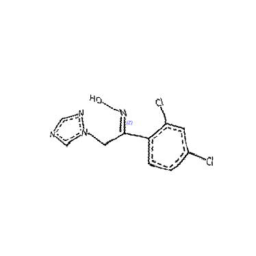 O/N=C(\Cn1cncn1)c1ccc(Cl)cc1Cl